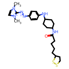 Cn1cc[n+](C)c1/N=N/c1ccc(NC2CCC(NC(=O)CCCCC3CCSS3)CC2)cc1